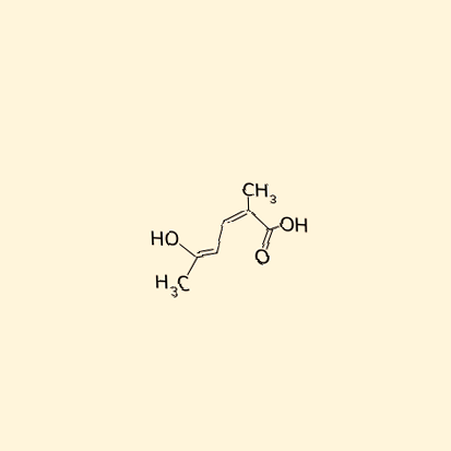 CC(O)=CC=C(C)C(=O)O